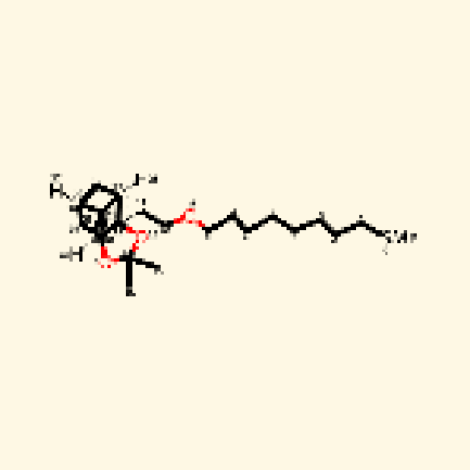 CSCCCCCCCCOCC[C@]12OC(C)(C)O[C@H]1C[C@H]1C[C@@H]2C1(C)C